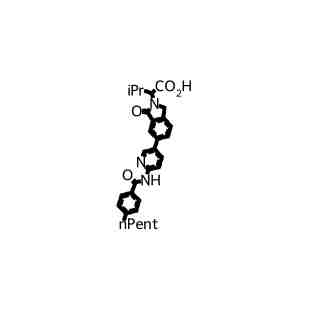 CCCCCc1ccc(C(=O)Nc2ccc(-c3ccc4c(c3)C(=O)N(C(C(=O)O)C(C)C)C4)cn2)cc1